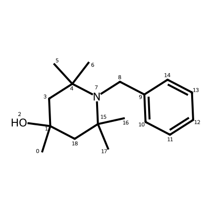 CC1(O)CC(C)(C)N(Cc2ccccc2)C(C)(C)C1